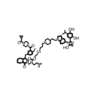 CC(C)c1cc(-c2nnc(O)n2-c2ccc3c(ccn3CCC3CCN(CCCSSCCOC(=O)N(CCN(C)C)Cn4nc(Cc5ccc(F)c(C(=O)N6CCN(C(=O)C7CC7)CC6)c5)c5ccccc5c4=O)CC3)c2)c(O)cc1O